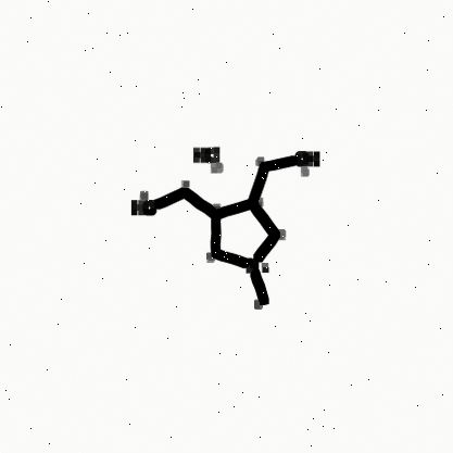 CN1CC(CO)C(CO)C1.Cl